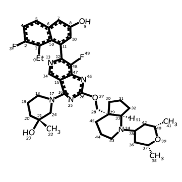 CCc1c(F)ccc2cc(O)cc(-c3ncc4c(N5CCC[C@@](C)(O)C5)nc(OC[C@]56CCC[C@H]5N(C5C[C@@H](C)O[C@@H](C)C5)CCC6)nc4c3F)c12